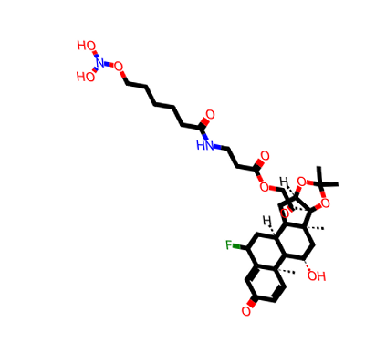 CC1(C)O[C@@H]2CC3[C@@H]4CC(F)C5=CC(=O)C=C[C@]5(C)C4[C@@H](O)C[C@]3(C)[C@]2(C(=O)COC(=O)CCNC(=O)CCCCCON(O)O)O1